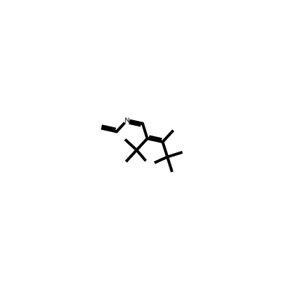 C=C/N=C\C(=C(/C)C(C)(C)C)C(C)(C)C